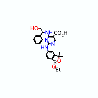 CCOB1OC(C)(C)c2cc(Nc3ncc(C(=O)O)c(N[C@H](CO)c4ccccc4)n3)ccc21